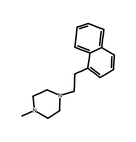 CN1CCN(C[CH]c2cccc3ccccc23)CC1